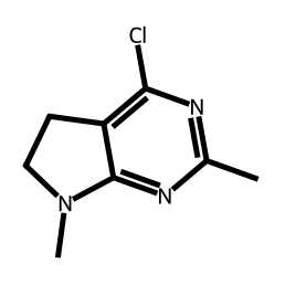 Cc1nc(Cl)c2c(n1)N(C)CC2